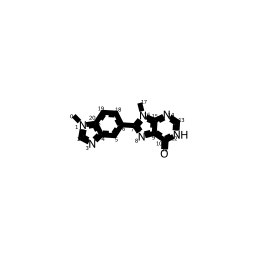 Cn1cnc2cc(-c3nc4c(=O)[nH]cnc4n3C)ccc21